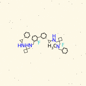 CN(Cc1ccccc1F)CC1(CN[C@H]2C[C@@H]2c2cccc(-c3cccc(CNCC4(CN[C@H]5C[C@@H]5c5ccccc5)CCC4)c3F)c2)CCC1